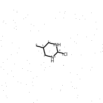 CC1CNC(Cl)NC1